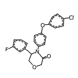 O=C1COCC(c2cccc(F)c2)N1c1ccc(Oc2ccc(Cl)cc2)cc1